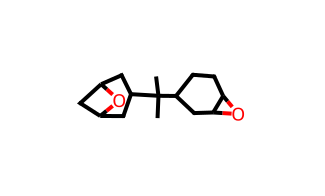 CC(C)(C1CC2CC(C1)O2)C1CCC2OC2C1